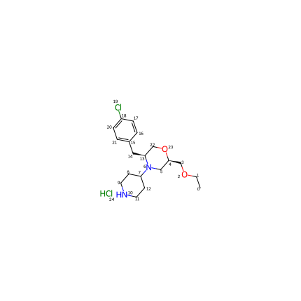 CCOC[C@H]1CN(C2CCNCC2)[C@@H](Cc2ccc(Cl)cc2)CO1.Cl